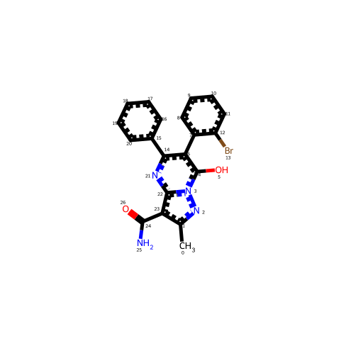 Cc1nn2c(O)c(-c3ccccc3Br)c(-c3ccccc3)nc2c1C(N)=O